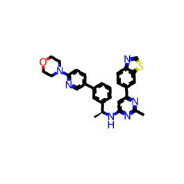 Cc1nc(N[C@@H](C)c2cccc(-c3ccc(N4CCOCC4)nc3)c2)cc(-c2ccc3ncsc3c2)n1